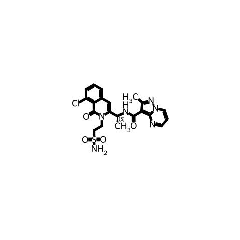 Cc1nn2cccnc2c1C(=O)N[C@@H](C)c1cc2cccc(Cl)c2c(=O)n1CCS(N)(=O)=O